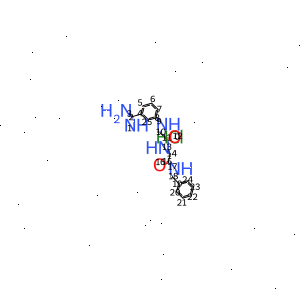 Cl.N=C(N)c1cccc(NCC(=O)NCC(=O)NCc2ccccc2)c1